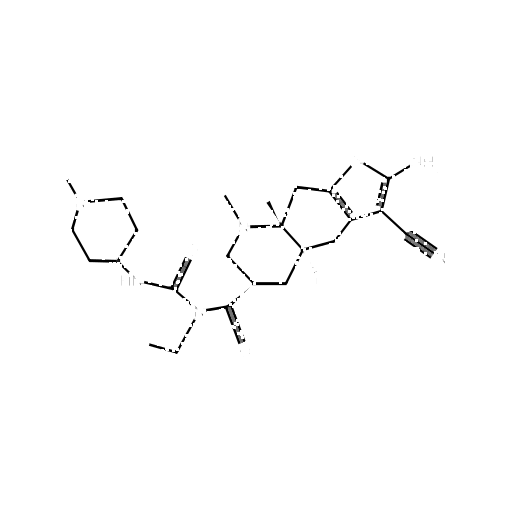 CCN(C(=O)NC1CCN(C)CC1)C(=O)[C@@H]1C[C@@H]2Cc3c(sc(N)c3C#N)C[C@H]2N(C)C1